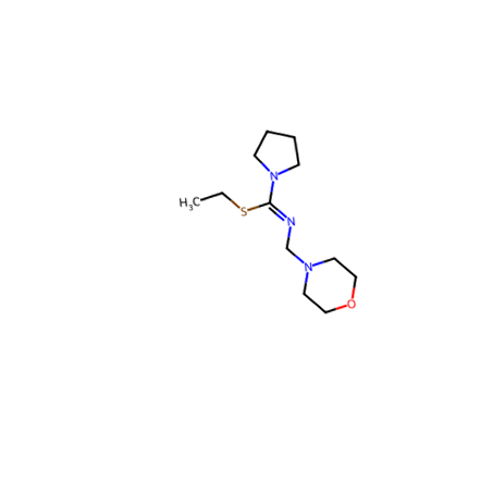 CCS/C(=N\CN1CCOCC1)N1CCCC1